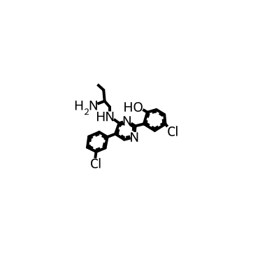 CCC(N)CNc1nc(-c2cc(Cl)ccc2O)ncc1-c1cccc(Cl)c1